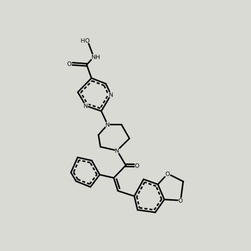 O=C(NO)c1cnc(N2CCN(C(=O)C(=Cc3ccc4c(c3)OCO4)c3ccccc3)CC2)nc1